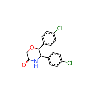 O=C1CO[C@@H](c2ccc(Cl)cc2)[C@@H](c2ccc(Cl)cc2)N1